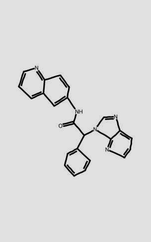 O=C(Nc1ccc2ncccc2c1)C(c1ccccc1)n1cnc2cccnc21